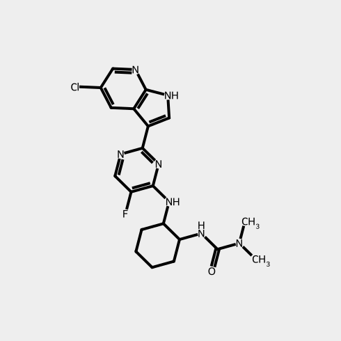 CN(C)C(=O)NC1CCCCC1Nc1nc(-c2c[nH]c3ncc(Cl)cc23)ncc1F